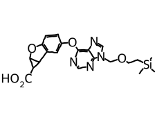 C[Si](C)(C)CCOCn1cnc2c(Oc3ccc4c(c3)C3C(O4)C3C(=O)O)ncnc21